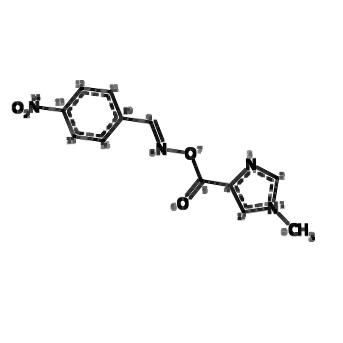 Cn1cnc(C(=O)ON=Cc2ccc([N+](=O)[O-])cc2)c1